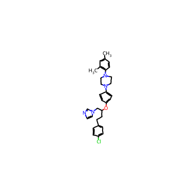 Cc1ccc(N2CCN(c3ccc(OC(CCc4ccc(Cl)cc4)Cn4ccnc4)cc3)CC2)c(C)c1